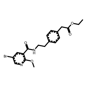 CCOC(=O)Cc1ccc(CCNC(=O)c2cc(Br)cnc2OC)cc1